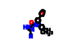 CC1(C)CC=C(c2cc(C3=CC4C=CC(C3)O4)ccc2NC(=O)c2nc(C#N)c[nH]2)CC1